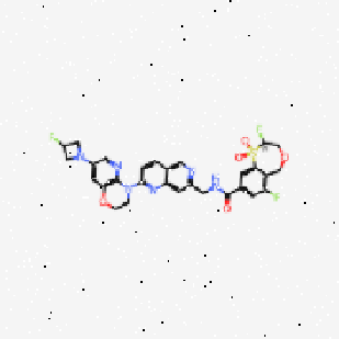 O=C(NCc1cc2nc(N3CCOc4cc(N5CC(F)C5)cnc43)ccc2cn1)c1cc(F)c2c(c1)S(=O)(=O)[C@@H](F)COC2